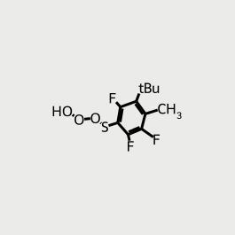 Cc1c(F)c(F)c(SOOO)c(F)c1C(C)(C)C